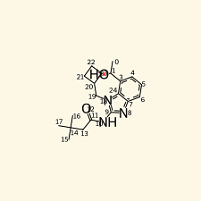 CC(O)c1cccc2nc(NC(=O)CC(C)(C)C)n(CC3CCC3)c12